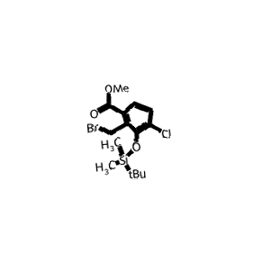 COC(=O)c1ccc(Cl)c(O[Si](C)(C)C(C)(C)C)c1CBr